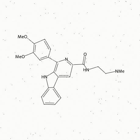 CNCCNC(=O)c1cc2c([nH]c3ccccc32)c(-c2ccc(OC)c(OC)c2)n1